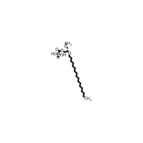 CCCCCCCCCCCCCCCCCCO[C@@H](COC)COC(=O)P(=O)(O)O